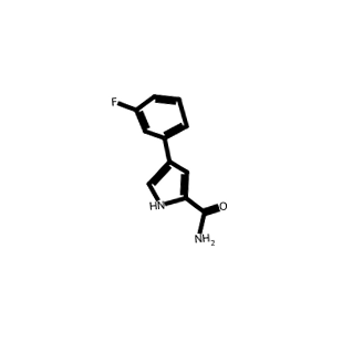 NC(=O)c1cc(-c2cccc(F)c2)c[nH]1